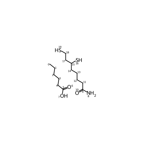 CCCCCC(=O)O.NC(=O)CCCCC(S)CCS